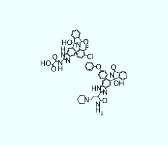 NC(=O)C(CCN1CCCCC1)c1nc2cc(C3(O)c4ccccc4C(=O)N3c3cccc(Oc4ccccc4)c3)ccc2[nH]1.O=C(O)C(=O)Nc1nc2ccc(C3(O)c4ccccc4C(=O)N3c3cccc(Cl)c3F)cc2[nH]1